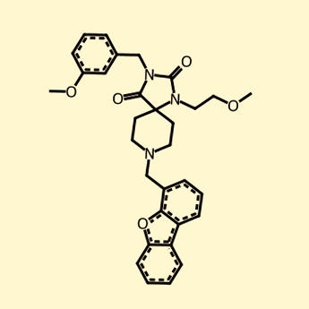 COCCN1C(=O)N(Cc2cccc(OC)c2)C(=O)C12CCN(Cc1cccc3c1oc1ccccc13)CC2